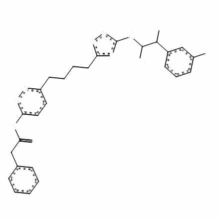 O=C(Cc1ccccc1)Nc1ccc(CCCCc2nnc(NC(O)C(O)c3cccc(Cl)c3)s2)nn1